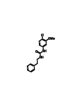 COc1cc(NC(=O)NCCc2ccccc2)ccc1Cl